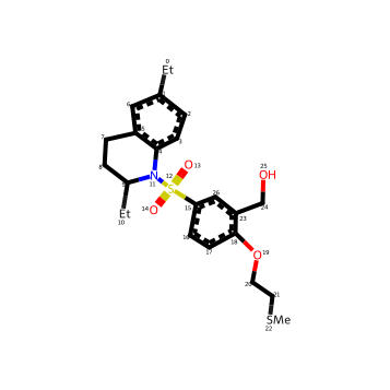 CCc1ccc2c(c1)CCC(CC)N2S(=O)(=O)c1ccc(OCCSC)c(CO)c1